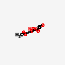 C=CC(=O)OCCCCOCC(O)COC(=O)c1ccc(C=O)cc1